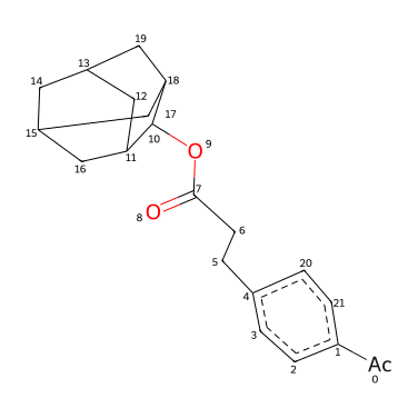 CC(=O)c1ccc(CCC(=O)OC2C3CC4CC(C3)CC2C4)cc1